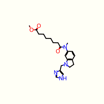 COC(=O)CCCCCCC(=O)N(C)c1ccc2c(c1)N(Cc1c[nH]cn1)CC2